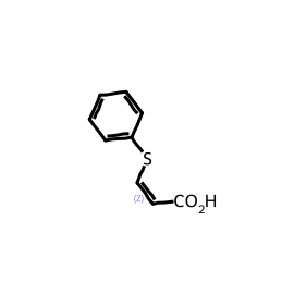 O=C(O)/C=C\Sc1ccccc1